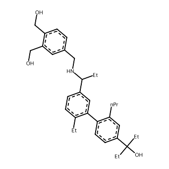 CCCc1cc(C(O)(CC)CC)ccc1-c1cc(C(CC)NCc2ccc(CO)c(CO)c2)ccc1CC